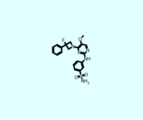 COc1cnc(Nc2cccc(S(N)(=O)=O)c2)nc1N1CC(F)(c2ccccc2)C1